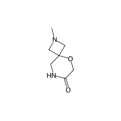 CN1CC2(CNC(=O)CO2)C1